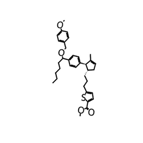 CCCCCC(OCc1ccc(OC)cc1)c1ccc([C@H]2C(C)=CC[C@@H]2CCCc2ccc(C(=O)OC)s2)cc1